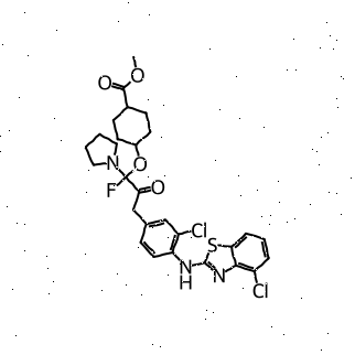 COC(=O)C1CCC(OC(F)(C(=O)Cc2ccc(Nc3nc4c(Cl)cccc4s3)c(Cl)c2)N2CCCC2)CC1